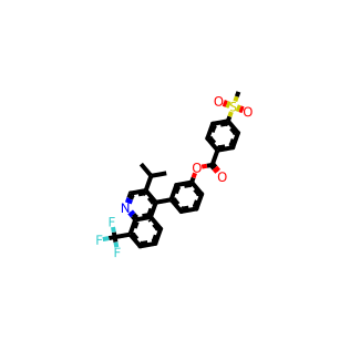 CC(C)c1cnc2c(C(F)(F)F)cccc2c1-c1cccc(OC(=O)c2ccc(S(C)(=O)=O)cc2)c1